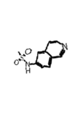 CS(=O)(=O)Nc1ccc2cnccc2c1